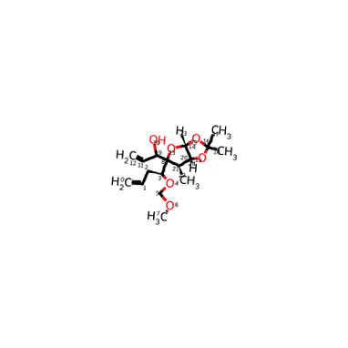 C=CC[C@H](OCOC)C1(C(O)C=C)O[C@@H]2OC(C)(C)O[C@@H]2[C@H]1C